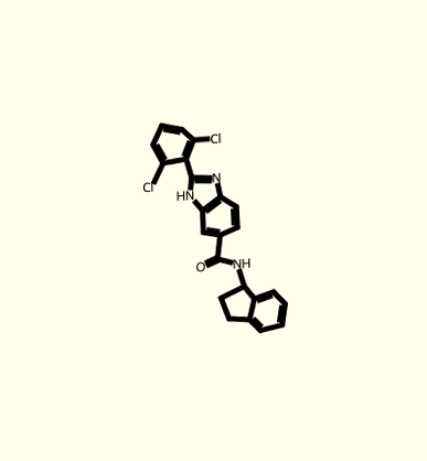 O=C(NC1CCc2ccccc21)c1ccc2nc(-c3c(Cl)cccc3Cl)[nH]c2c1